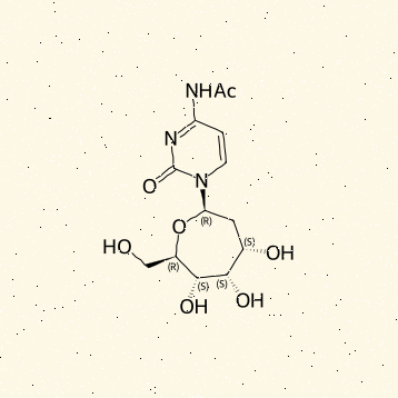 CC(=O)Nc1ccn([C@H]2C[C@H](O)[C@H](O)[C@H](O)[C@@H](CO)O2)c(=O)n1